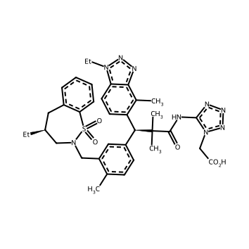 CC[C@H]1Cc2ccccc2S(=O)(=O)N(Cc2cc([C@@H](c3ccc4c(nnn4CC)c3C)C(C)(C)C(=O)Nc3nnnn3CC(=O)O)ccc2C)C1